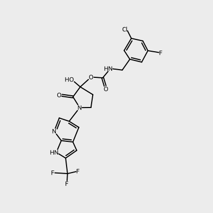 O=C(NCc1cc(F)cc(Cl)c1)OC1(O)CCN(c2cnc3[nH]c(C(F)(F)F)cc3c2)C1=O